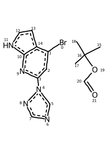 Brc1cc(-n2cncn2)nc2[nH]ccc12.CC(C)(C)OC=O